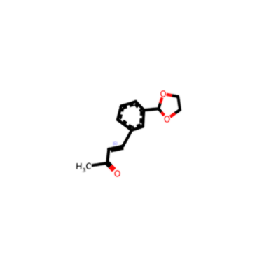 CC(=O)/C=C/c1cccc(C2OCCO2)c1